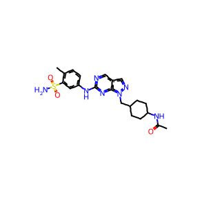 CC(=O)NC1CCC(Cn2ncc3cnc(Nc4ccc(C)c(S(N)(=O)=O)c4)nc32)CC1